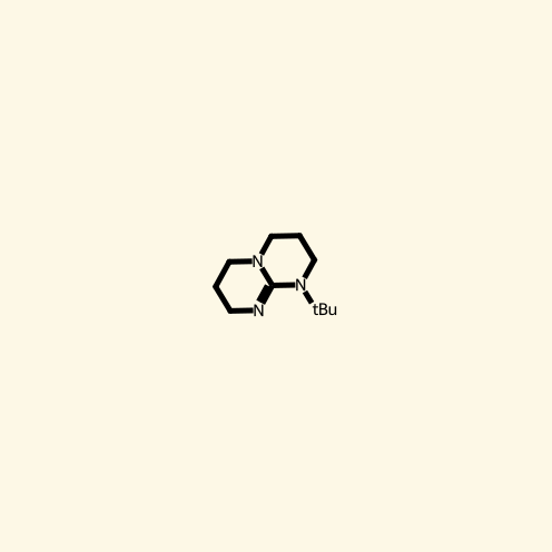 CC(C)(C)N1CCCN2CCCN=C21